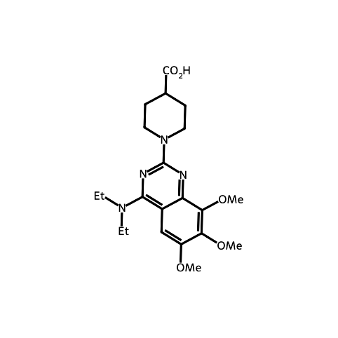 CCN(CC)c1nc(N2CCC(C(=O)O)CC2)nc2c(OC)c(OC)c(OC)cc12